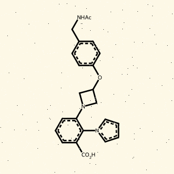 CC(=O)NCc1ccc(OC2CN(c3cccc(C(=O)O)c3-n3cccc3)C2)cc1